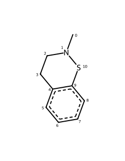 CN1CCc2ccccc2S1